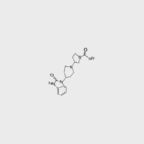 CCCC(=O)N1CCC(N2CCC(n3c(=O)[nH]c4ccccc43)CC2)C1